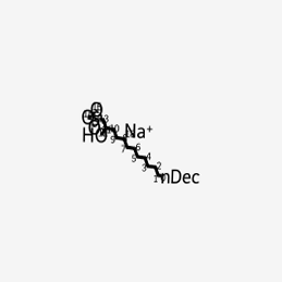 CCCCCCCCCCCCCCCCCCCCC(O)CS(=O)(=O)[O-].[Na+]